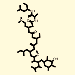 C=C(CC(CC)CC(=O)CC(CCN(C)C)CC(=O)NC(C)C(=C)NC(CC)CC(C)C)CC(CC(C)CC)CC(OC)C(C)C(CC1CC(C)C(C)C(O)C1C)C(C)C(C)C